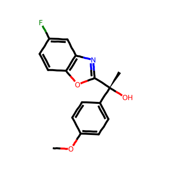 COc1ccc([C@@](C)(O)c2nc3cc(F)ccc3o2)cc1